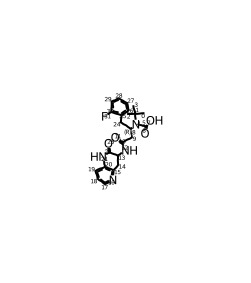 CC(C)(C)N(C(=O)O)[C@@H](CC(=O)NC1Cc2ncccc2NC1=O)Cc1ccccc1F